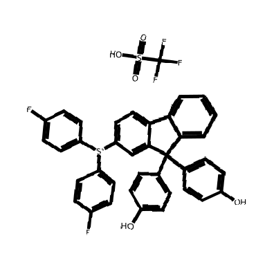 O=S(=O)(O)C(F)(F)F.Oc1ccc(C2(c3ccc(O)cc3)c3ccccc3-c3ccc([S+](c4ccc(F)cc4)c4ccc(F)cc4)cc32)cc1